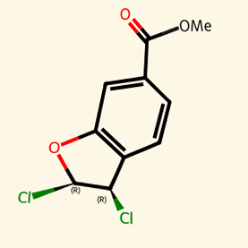 COC(=O)c1ccc2c(c1)O[C@H](Cl)[C@@H]2Cl